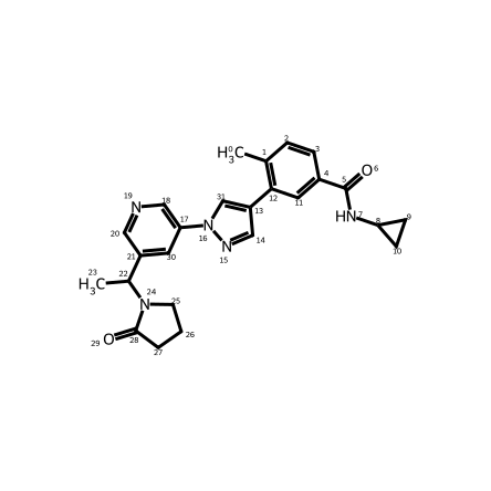 Cc1ccc(C(=O)NC2CC2)cc1-c1cnn(-c2cncc(C(C)N3CCCC3=O)c2)c1